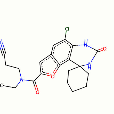 CCN(CCC#N)C(=O)c1cc2cc(Cl)c3c(c2o1)C1(CCCCC1)NC(=O)N3